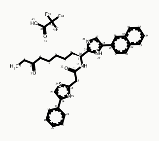 CCC(=O)CCCCC[C@H](NC(=O)Cc1nc(-c2ccccc2)cs1)c1ncc(-c2ccc3ccccc3c2)[nH]1.O=C(O)C(F)(F)F